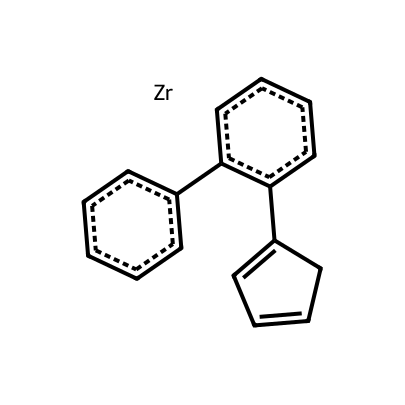 C1=CCC(c2ccccc2-c2ccccc2)=C1.[Zr]